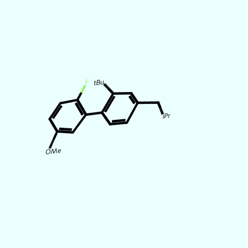 COc1ccc(F)c(-c2ccc(CC(C)C)cc2C(C)(C)C)c1